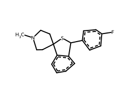 CN1CCC2(CC1)SC(c1ccc(F)cc1)c1ccccc12